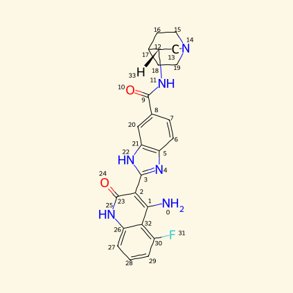 Nc1c(-c2nc3ccc(C(=O)N[C@H]4CN5CCC4CC5)cc3[nH]2)c(=O)[nH]c2cccc(F)c12